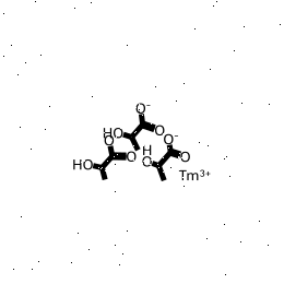 CC(O)C(=O)[O-].CC(O)C(=O)[O-].CC(O)C(=O)[O-].[Tm+3]